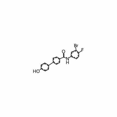 O=C(Nc1ccc(F)c(Br)c1)c1ccc(-c2ccc(O)cc2)cc1